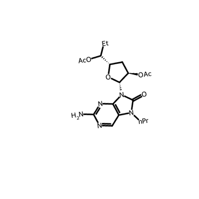 CCCn1c(=O)n([C@@H]2O[C@H](C(CC)OC(C)=O)C[C@H]2OC(C)=O)c2nc(N)ncc21